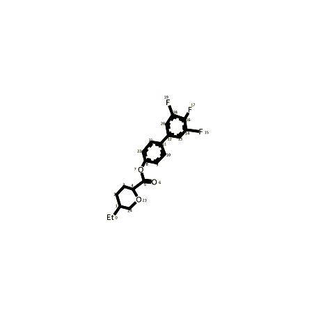 CCC1CCC(C(=O)Oc2ccc(-c3cc(F)c(F)c(F)c3)cc2)OC1